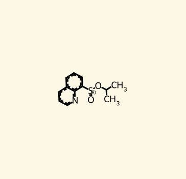 CC(C)O[S@@](=O)c1cccc2cccnc12